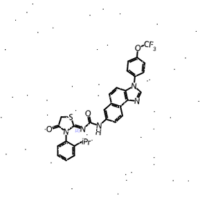 CC(C)c1ccccc1N1C(=O)CS/C1=N\C(=O)Nc1ccc2c(ccc3c2ncn3-c2ccc(OC(F)(F)F)cc2)c1